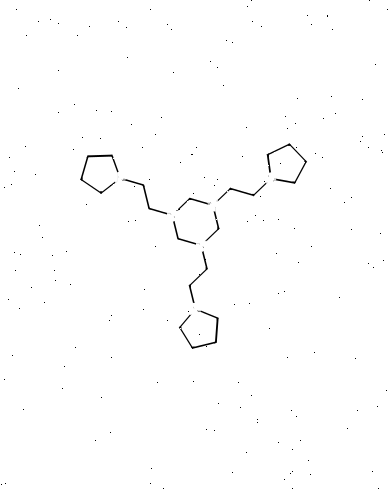 C1CCN(CCN2CN(CCN3CCCC3)CN(CCN3CCCC3)C2)C1